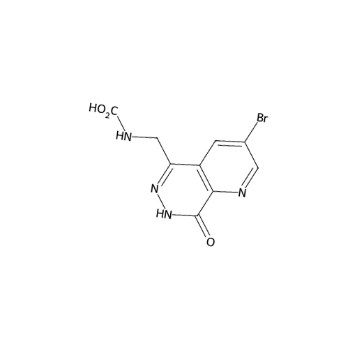 O=C(O)NCc1n[nH]c(=O)c2ncc(Br)cc12